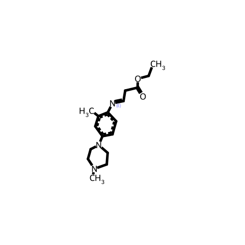 CCOC(=O)C/C=N/c1ccc(N2CCN(C)CC2)cc1C